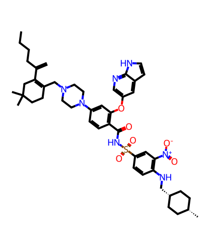 C=C(CCCC)C1=C(CN2CCN(c3ccc(C(=O)NS(=O)(=O)c4ccc(NC[C@H]5CC[C@@H](C)CC5)c([N+](=O)[O-])c4)c(Oc4cnc5[nH]ccc5c4)c3)CC2)CCC(C)(C)C1